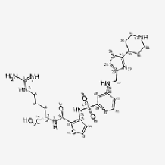 N=C(N)NCCC[C@H](NC(=O)c1sccc1NS(=O)(=O)c1cccc(NCc2csc(C3CCNCC3)n2)c1)C(=O)O